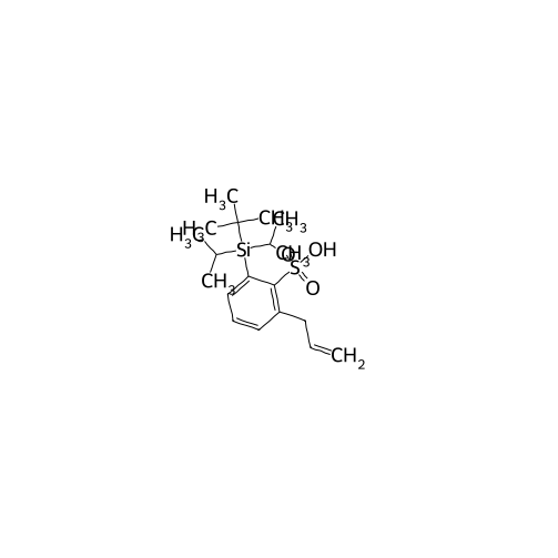 C=CCc1cccc([Si](C(C)C)(C(C)C)C(C)(C)C)c1S(=O)(=O)O